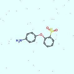 Nc1ccc(Oc2ccccc2[SH](=O)=O)cc1